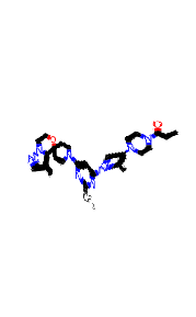 C=CC(=O)N1CCN([C@@H]2CN(c3cc(N4CCC5(CC4)OCCn4ncc(C)c45)nc(C(F)(F)F)n3)[C@@H]2C)CC1